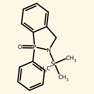 C[Si](C)(C)N1Cc2ccccc2P1(=O)c1ccccc1